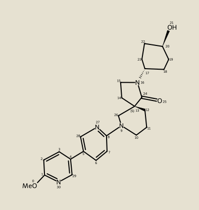 COc1ccc(-c2ccc(N3CCC[C@]4(CCN([C@H]5CC[C@H](O)CC5)C4=O)C3)nc2)cn1